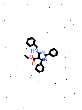 CCOC(=O)c1c(NCc2ccccc2)nc(-c2ccccc2)nc1-c1ccccc1